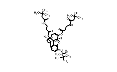 CC(C)(C)OC(=O)NCCC(=O)OC1=CC[C@@]2(OC(=O)CCNC(=O)OC(C)(C)C)[C@@H]3CCC[C@@]24c2c(ccc(O[Si](C)(C)C(C)(C)C)c2O[C@@H]14)C3